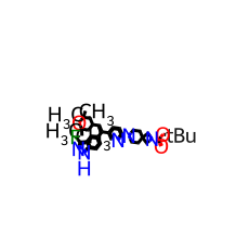 CC(C)(C)OC(=O)N1CC2(CCN(c3ccc(C(=CC4CC(C)(C)OC(C)(C)C4)c4ccc5[nH]nc(F)c5c4)cn3)CC2)C1